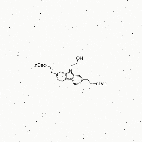 CCCCCCCCCCCCc1ccc2c3ccc(CCCCCCCCCCCC)cc3n(CCO)c2c1